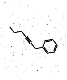 CCCC#CCc1[c]cccc1